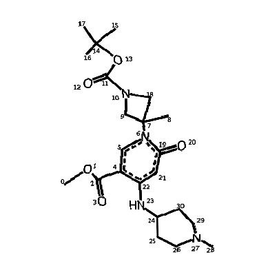 COC(=O)c1cn(C2(C)CN(C(=O)OC(C)(C)C)C2)c(=O)cc1NC1CCN(C)CC1